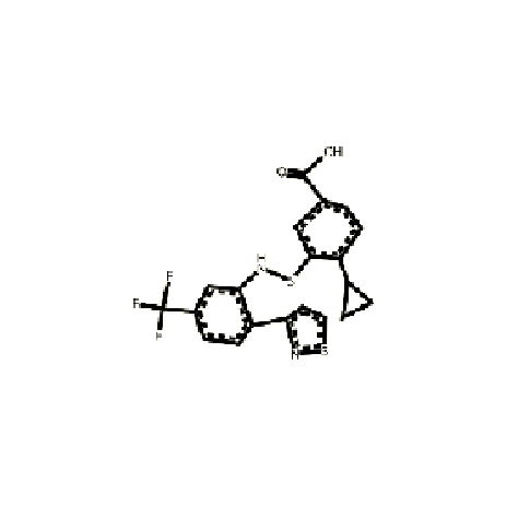 O=C(O)c1ccc(C2CC2)c(SNc2cc(C(F)(F)F)ccc2-c2ccsn2)c1